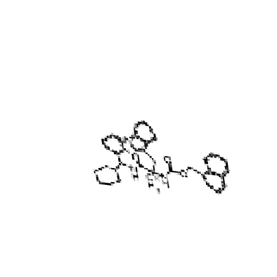 C[C@@](Cc1c[nH]c2ccccc12)(NC(=O)OCc1cccc2ccccc12)C(=O)NC(c1ccccn1)C1CCCCC1